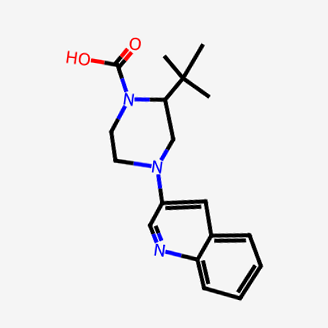 CC(C)(C)C1CN(c2cnc3ccccc3c2)CCN1C(=O)O